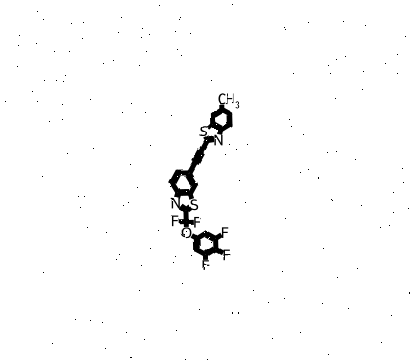 Cc1ccc2nc(C#Cc3ccc4nc(C(F)(F)Oc5cc(F)c(F)c(F)c5)sc4c3)sc2c1